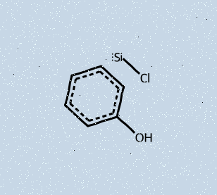 Oc1ccccc1.[Si]Cl